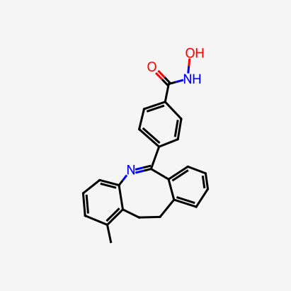 Cc1cccc2c1CCc1ccccc1/C(c1ccc(C(=O)NO)cc1)=N\2